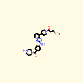 O=C(CCC(F)(F)F)N1CC=C(c2cccn3nc(Nc4ccc(C(=O)N5CCCNCC5)cc4)nc23)CC1